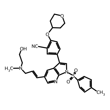 Cc1ccc(S(=O)(=O)n2cc(-c3ccc(OC4CCOCC4)c(C#N)c3)c3cc(C=CCN(C)CCO)cnc32)cc1